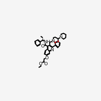 CCOC(=O)COc1ccc2c(C(=O)N[C@@H](CC)c3ccccc3)c(CN3CCC(N4CCCCC4)CC3)c(-c3ccccc3)nc2c1